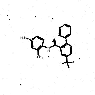 Cc1cc(N)ccc1NC(=O)c1cc(C(F)(F)F)ccc1-c1ccccc1